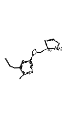 CCc1cc(OC[C@H]2CCCN2)cnc1C